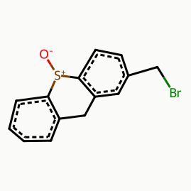 [O-][S+]1c2ccccc2Cc2cc(CBr)ccc21